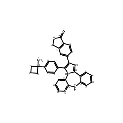 NC1(c2ccc(-c3c(-c4ccc5c(c4)COC5=O)nc4n3-c3cccnc3Nc3ccccc3-4)cc2)CCC1